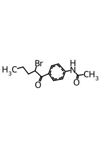 CCCC(Br)C(=O)c1ccc(NC(C)=O)cc1